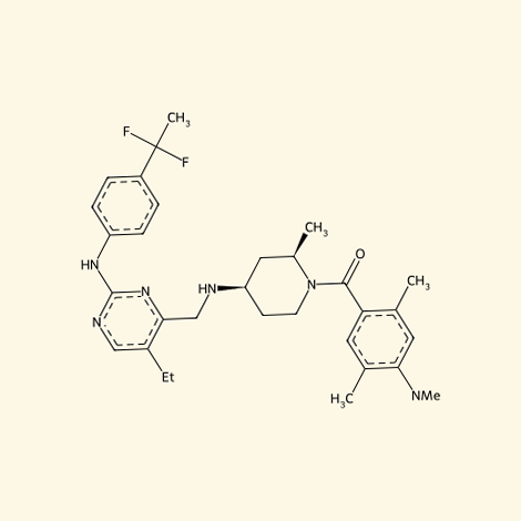 CCc1cnc(Nc2ccc(C(C)(F)F)cc2)nc1CN[C@@H]1CCN(C(=O)c2cc(C)c(NC)cc2C)[C@H](C)C1